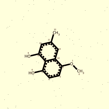 COc1ccc(O)c2c(O)cc(C)cc12